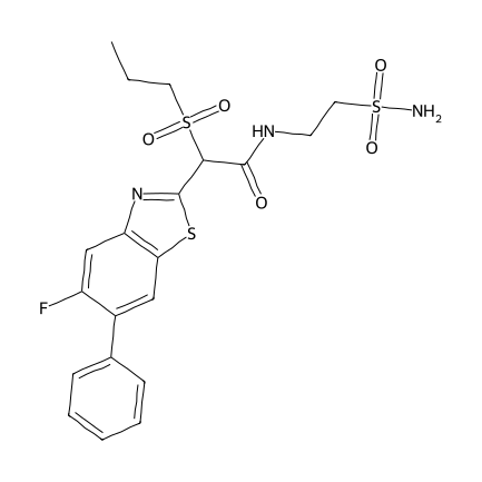 CCCS(=O)(=O)C(C(=O)NCCS(N)(=O)=O)c1nc2cc(F)c(-c3ccccc3)cc2s1